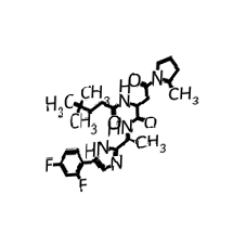 CC1CCCN1C(=O)CC(NC(=O)CCC(C)(C)C)C(=O)N[C@@H](C)c1ncc(-c2ccc(F)cc2F)[nH]1